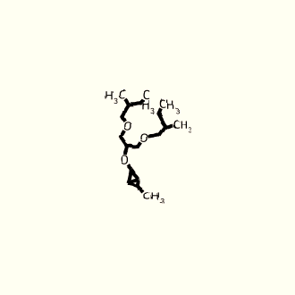 CCC(C)COCC(COCC(C)CC)OC1C2C(C)C12